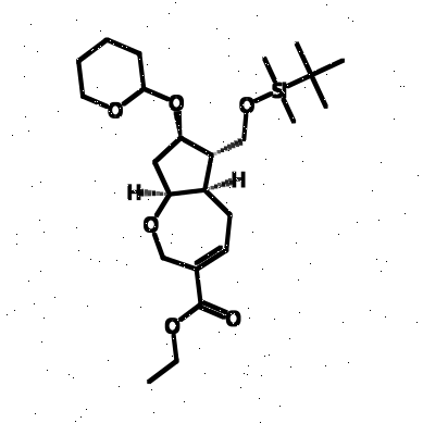 CCOC(=O)C1=CC[C@@H]2[C@@H](CO[Si](C)(C)C(C)(C)C)[C@H](OC3CCCCO3)C[C@@H]2OC1